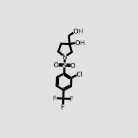 O=S(=O)(c1ccc(C(F)(F)F)cc1Cl)N1CCC(O)(CO)C1